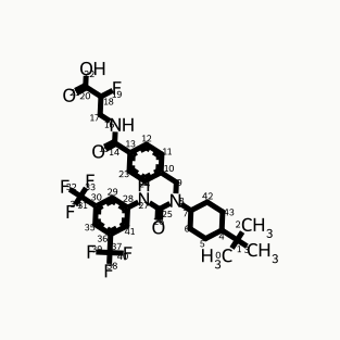 CC(C)(C)C1CCC(N(Cc2ccc(C(=O)NCC(F)C(=O)O)cc2)C(=O)Nc2cc(C(F)(F)F)cc(C(F)(F)F)c2)CC1